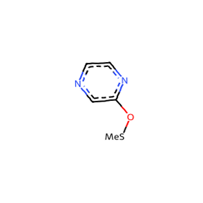 CSOc1cnccn1